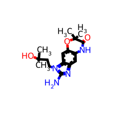 CC(C)(O)CCn1c(N)nc2cc3c(cc21)OC(C)(C)C(=O)N3